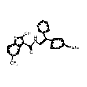 CSc1ccc(C(=CNC(=O)c2c(O)sc3ccc(C(F)(F)F)cc23)c2ccccc2)cc1